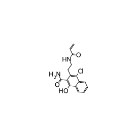 C=CC(=O)NCCc1c(C(N)=O)c(O)c2ccccc2c1Cl